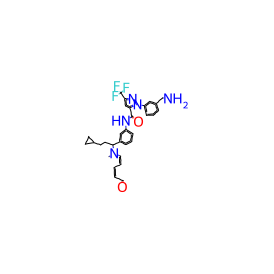 CN(/C=C\C=C/C=O)C(CCC1CC1)c1cccc(NC(=O)c2cc(C(F)(F)F)nn2-c2cccc(CN)c2)c1